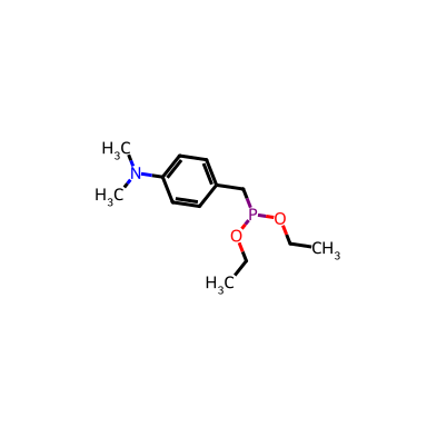 CCOP(Cc1ccc(N(C)C)cc1)OCC